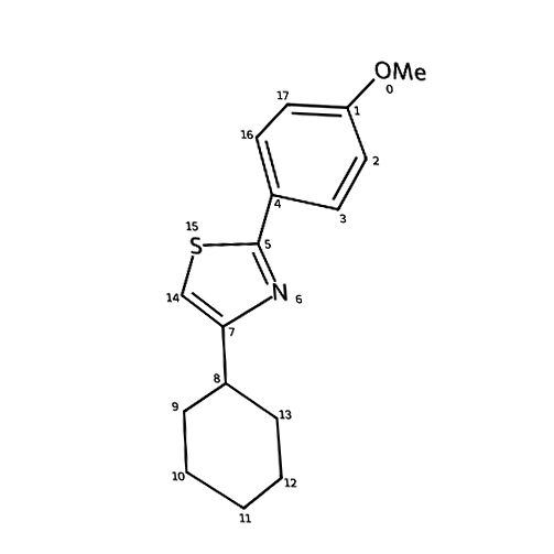 COc1ccc(-c2nc(C3CCCCC3)cs2)cc1